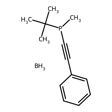 B.CP(C#Cc1ccccc1)C(C)(C)C